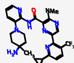 CNc1ncc(-c2nc(C3CC3)ccc2C(F)(F)F)nc1C(=O)Nc1ncccc1N1CCC(C)(N)CC1